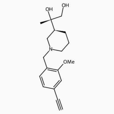 C#Cc1ccc(CN2CCC[C@H]([C@](C)(O)CO)C2)c(OC)c1